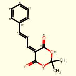 CC1(C)OC(=O)C(=CC=Cc2ccccc2)C(=O)O1